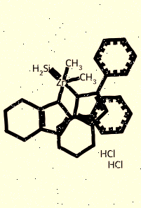 Cl.Cl.[CH3][Zr]([CH3])(=[SiH2])([CH]1C(c2ccccc2)=CC2=C1CCCC2)[CH]1C(c2ccccc2)=CC2=C1CCCC2